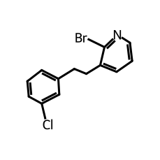 Clc1cccc(CCc2cccnc2Br)c1